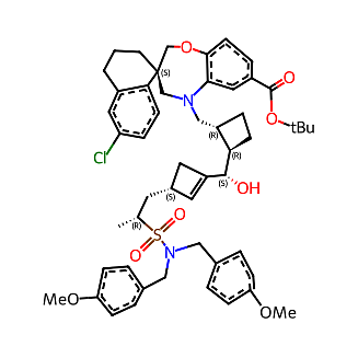 COc1ccc(CN(Cc2ccc(OC)cc2)S(=O)(=O)[C@H](C)C[C@H]2C=C([C@@H](O)[C@@H]3CC[C@H]3CN3C[C@@]4(CCCc5cc(Cl)ccc54)COc4ccc(C(=O)OC(C)(C)C)cc43)C2)cc1